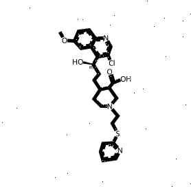 COc1ccc2ncc(Cl)c([C@H](O)CCC3CCN(CCSc4ccccn4)CC3C(=O)O)c2c1